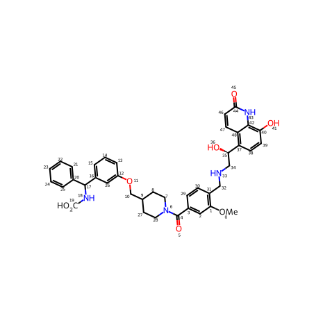 COc1cc(C(=O)N2CCC(COc3cccc(C(NC(=O)O)c4ccccc4)c3)CC2)ccc1CNC[C@@H](O)c1ccc(O)c2[nH]c(=O)ccc12